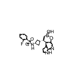 O=S(=O)(N[C@H]1C[C@@H](C2=CB(O)Oc3cnc4[nH]ccc4c32)C1)c1ccccc1F